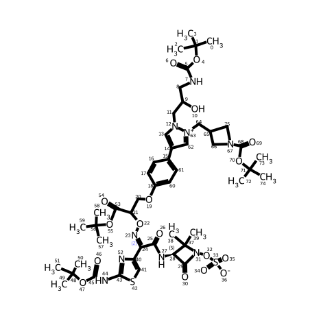 CC(C)(C)OC(=O)NCC(O)Cn1cc(-c2ccc(OCC(O/N=C(\C(=O)N[C@@H]3C(=O)N(OS(=O)(=O)[O-])C3(C)C)c3csc(NC(=O)OC(C)(C)C)n3)C(=O)OC(C)(C)C)cc2)c[n+]1CC1CN(C(=O)OC(C)(C)C)C1